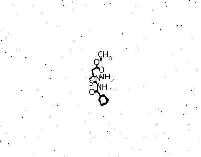 CCOC(=O)CC1CSC(NC(=O)c2ccccc2)N1N